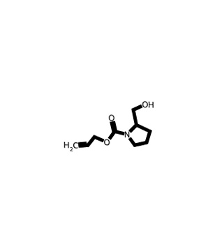 C=CCOC(=O)N1CCCC1CO